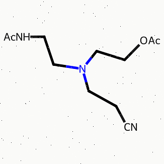 CC(=O)NCCN(CCC#N)CCOC(C)=O